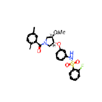 CO[C@@H]1CN(C(=O)c2cc(C)ccc2C)C[C@H]1Oc1cccc(NS(=O)(=O)c2ccccc2F)c1